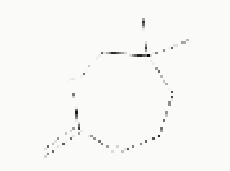 C=C1OCCC(C)(C)CO1